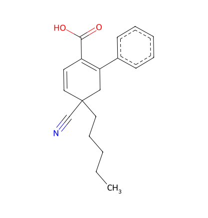 CCCCCC1(C#N)C=CC(C(=O)O)=C(c2ccccc2)C1